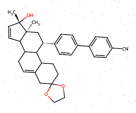 C[C@]1(O)C=CC2C3CC=C4CC5(CCC4C3[C@@H](c3ccc(-c4ccc(C#N)cc4)cc3)C[C@@]21C)OCCO5